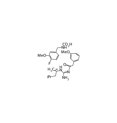 COc1cc(CNC(=O)O)ccc1F.COc1cccc(CC(=O)N=C(N)N[C@H](C)CC(C)C)c1